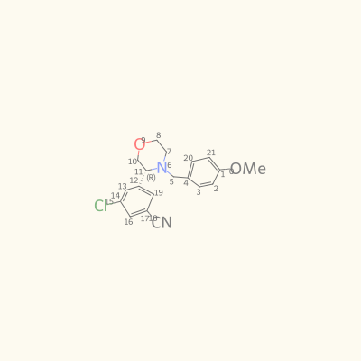 COc1ccc(CN2CCOC[C@H]2c2cc(Cl)cc(C#N)c2)cc1